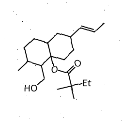 CC=CC1CCC2(OC(=O)C(C)(C)CC)C(CCC(C)C2CO)C1